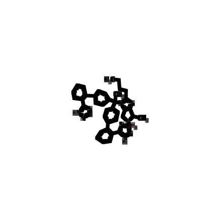 CCCCc1nc2c(n1C(C)(c1ccc(-c3ccccc3-c3nnn[nH]3)cc1)c1ccc(-c3ccccc3-c3nnn[nH]3)cc1)CN(C)C2C